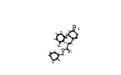 Cc1ccc(/C=C/C(=O)OCc2ccccc2)c(-c2cccc(F)c2)c1